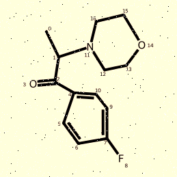 CC(C(=O)c1ccc(F)cc1)N1CCOCC1